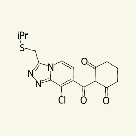 CC(C)SCc1nnc2c(Cl)c(C(=O)C3C(=O)CCCC3=O)ccn12